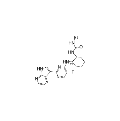 CCNC(=O)NC1CCCC[C@H]1Nc1nc(-c2c[nH]c3ncccc23)ncc1F